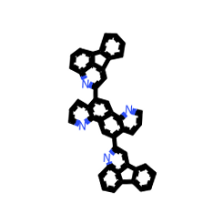 c1ccc2c(c1)-c1cccc3nc(-c4cc5c(cc(-c6cc7c8c(cccc8n6)-c6ccccc6-7)c6cccnc65)c5ncccc45)cc-2c13